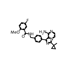 COc1ccc(F)cc1C(=O)NCc1ccc(-c2nc(C3(C)CC3)n3ccnc(N)c23)cc1